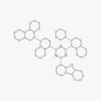 c1ccc(-c2ccc3ccccc3c2-c2nc(-c3ccc(-c4cc5ccccc5c5ccccc45)c4ccccc34)nc(-c3cccc4c3oc3ccccc34)n2)cc1